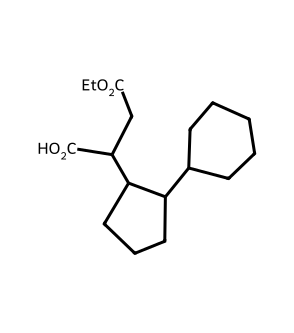 CCOC(=O)CC(C(=O)O)C1CCCC1C1CCCCC1